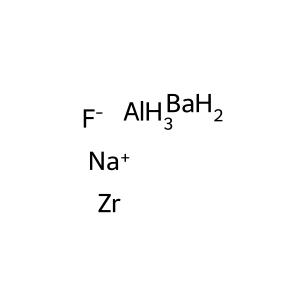 [AlH3].[BaH2].[F-].[Na+].[Zr]